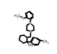 COc1ccccc1N1CCN(CC2CCCCC2(O)c2ccc(C)cc2)CC1